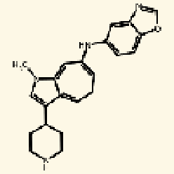 Cn1cc(C2CCNCC2)c2c1=CC(Nc1ccc3ocnc3c1)=CCC=2